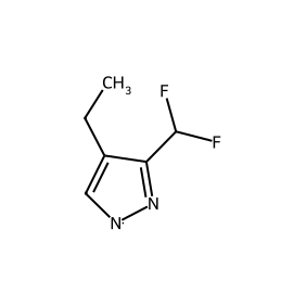 CCC1=C[N]N=C1C(F)F